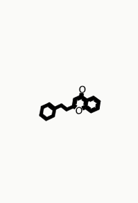 O=c1cc(CCC2=CCCCC2)oc2ccccc12